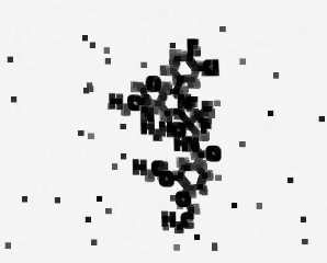 CCOc1ccc(C(=O)NCC(O)(c2cc3c(c(-c4ccc(F)c(Cl)c4)n2)OCC3(C)N)C(F)(F)F)cc1OC